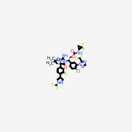 CC(C)(C)C[C@]1(c2ccc(-c3cnn(C(F)F)c3)c(F)c2)NC(=N)N([C@H](COC(=O)N[C@@H]2CC2(F)F)c2ccc(Cl)c(-n3ncnc3C(F)F)c2)C1=O